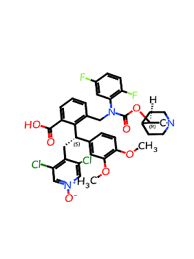 COc1ccc([C@H](Cc2c(Cl)c[n+]([O-])cc2Cl)c2c(CN(C(=O)O[C@H]3CN4CCC3CC4)c3cc(F)ccc3F)cccc2C(=O)O)cc1OC